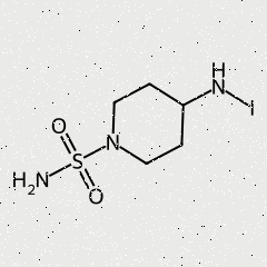 NS(=O)(=O)N1CCC(NI)CC1